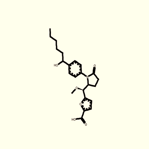 CCCCCC(O)c1ccc(N2C(=O)CCC2[C@H](OC)c2ccc(C(=O)O)o2)cc1